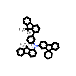 CC1(C)c2ccccc2-c2cccc(-c3cccc(N(c4ccc5c(c4)C4(CCCCC4)c4ccccc4-5)c4cccc5c4C(C)(C)c4ccccc4-5)c3)c21